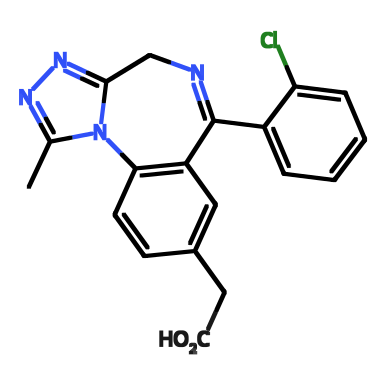 Cc1nnc2n1-c1ccc(CC(=O)O)cc1C(c1ccccc1Cl)=NC2